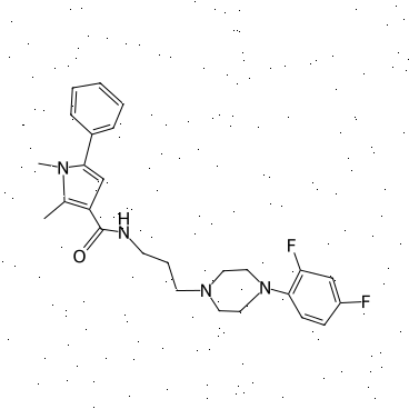 Cc1c(C(=O)NCCCN2CCN(c3ccc(F)cc3F)CC2)cc(-c2ccccc2)n1C